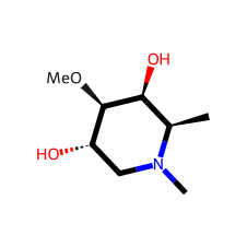 CO[C@H]1[C@@H](O)[C@@H](C)N(C)C[C@@H]1O